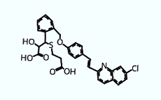 O=C(O)CCSC(c1ccccc1COc1ccc(C=Cc2ccc3ccc(Cl)cc3n2)cc1)C(O)C(=O)O